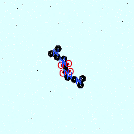 O=C1C2C(C(=O)N1c1cccc(-c3ccc(-n4c5ccccc5c5ccccc54)cc3)n1)C1C(=O)N(c3cccc(-c4ccc5c6ccccc6n(-c6ccccc6)c5c4)n3)C(=O)C21